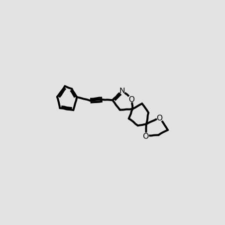 C(#Cc1ccccc1)C1=NOC2(CCC3(CC2)OCCO3)C1